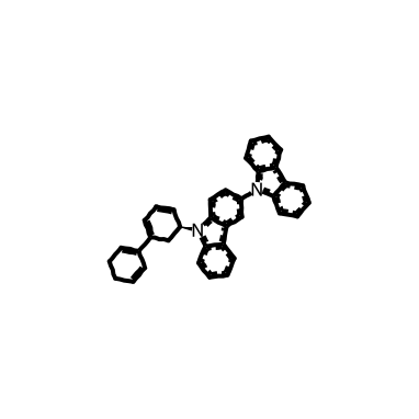 C1=C[C@@H](n2c3ccccc3c3cc(-n4c5ccccc5c5ccccc54)ccc32)CC(C2=CCCC=C2)=C1